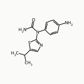 CC(C)c1cnc(N(C(N)=O)c2ccc(N)cc2)s1